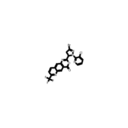 O=c1oc(C2CC(Br)=NN2c2ncccc2Cl)nc2cc3ccc(C(F)(F)F)nc3cc12